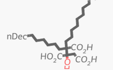 CCCCCCCCCCCCCCCCC(CCCCCCCCC(C)C)(C(=O)O)C(O)(CC(=O)O)C(=O)O